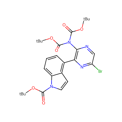 CC(C)(C)OC(=O)N(C(=O)OC(C)(C)C)c1ncc(Br)nc1-c1cccc2c1ccn2C(=O)OC(C)(C)C